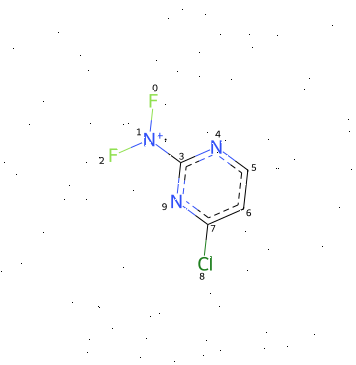 F[N+](F)c1nccc(Cl)n1